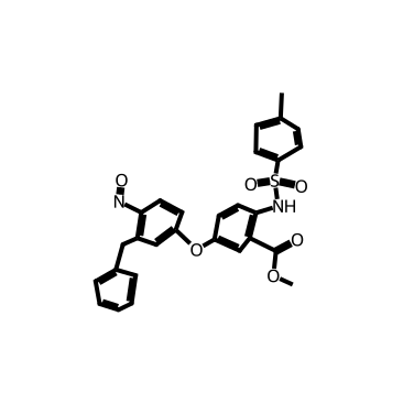 COC(=O)c1cc(Oc2ccc(N=O)c(Cc3ccccc3)c2)ccc1NS(=O)(=O)c1ccc(C)cc1